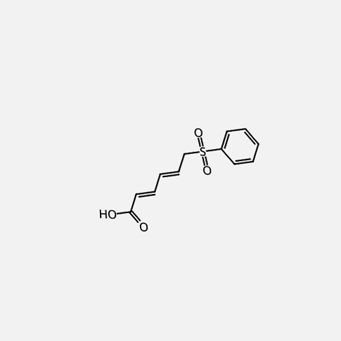 O=C(O)/C=C/C=C/CS(=O)(=O)c1ccccc1